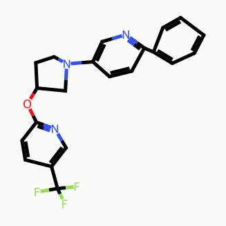 FC(F)(F)c1ccc(OC2CCN(c3ccc(-c4ccccc4)nc3)C2)nc1